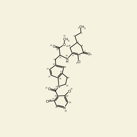 CCCC1CC(=O)C(Cl)=C(NC(Cc2ccc3c(c2)CCN3C(=O)c2c(Cl)cncc2Cl)C(=O)OC)C1